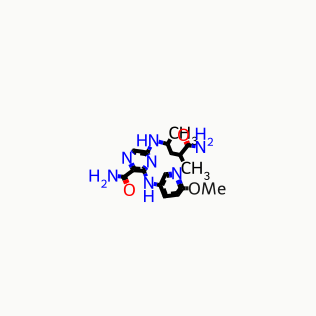 COc1ccc(Nc2nc(NC(C)CC(C)C(N)=O)cnc2C(N)=O)cn1